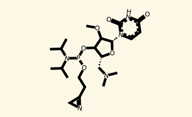 COC1C(OP(OCCC2=NC2)N(C(C)C)C(C)C)[C@@H](CN(C)C)O[C@H]1n1ccc(=O)[nH]c1=O